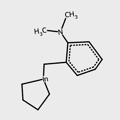 CN(C)c1ccccc1[CH2][In]1[CH2]CC[CH2]1